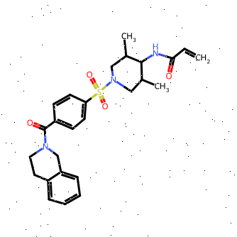 C=CC(=O)NC1C(C)CN(S(=O)(=O)c2ccc(C(=O)N3CCc4ccccc4C3)cc2)CC1C